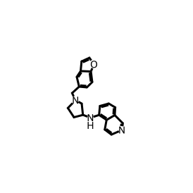 c1cc(NC2CCN(Cc3ccc4occc4c3)C2)c2ccncc2c1